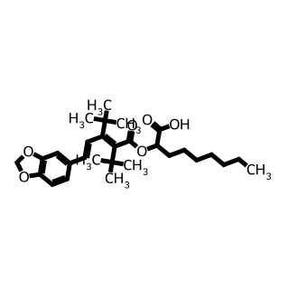 CCCCCCCC(OC(=O)C(=C(C=Cc1ccc2c(c1)OCO2)C(C)(C)C)C(C)(C)C)C(=O)O